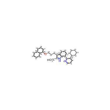 O=C(O)c1[nH]c2c(-c3ncccc3C3CCCCC3)cccc2c1CCCOc1cccc2ccccc12